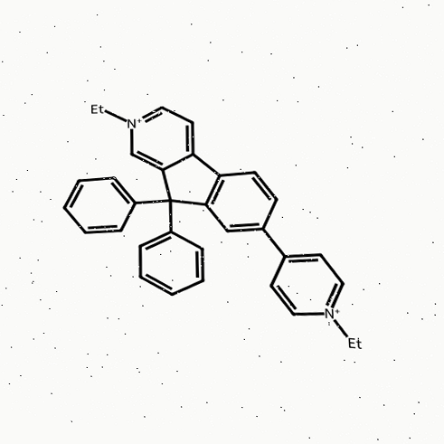 CC[n+]1ccc(-c2ccc3c(c2)C(c2ccccc2)(c2ccccc2)c2c[n+](CC)ccc2-3)cc1